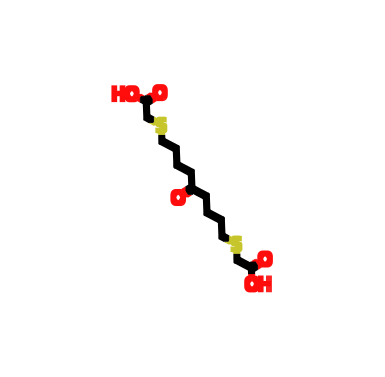 O=C(O)CSCCCCC(=O)CCCCSCC(=O)O